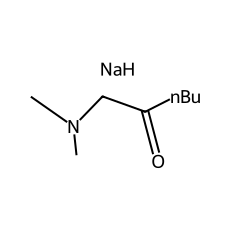 CCCCC(=O)CN(C)C.[NaH]